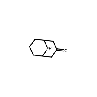 O=C1CC2CCCC(C1)P2